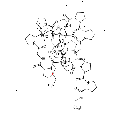 NCCCC[C@H](NC(=O)[C@@H]1CCCN1C(=O)CNC(=O)[C@@H]1CCCN1C(=O)[C@@H]1CCCN1C(=O)CNC(=O)[C@@H]1CCCN1C(=O)[C@@H]1CCCN1C(=O)CNC(=O)[C@@H]1CCCN1C(=O)[C@@H]1CCCN1C(=O)CNC(=O)[C@@H]1CCCN1C(=O)[C@@H]1CCCN1C(=O)CNC(=O)[C@@H]1CCCN1C(=O)[C@@H]1CCCN1)C(=O)NCC(=O)N1CCC[C@H]1C(=O)N1CCC[C@H]1C(=O)NCC(=O)O